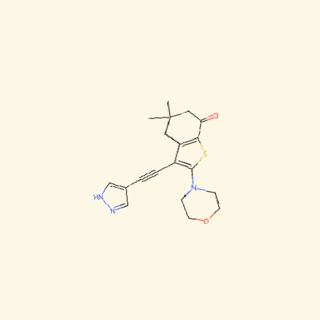 CC1(C)CC(=O)c2sc(N3CCOCC3)c(C#Cc3cn[nH]c3)c2C1